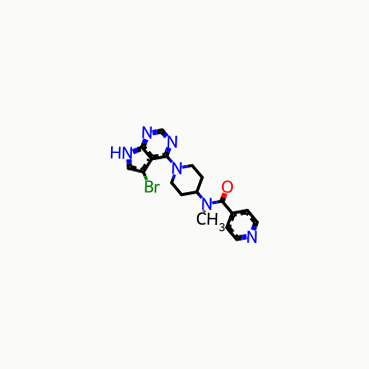 CN(C(=O)c1ccncc1)C1CCN(c2ncnc3[nH]cc(Br)c23)CC1